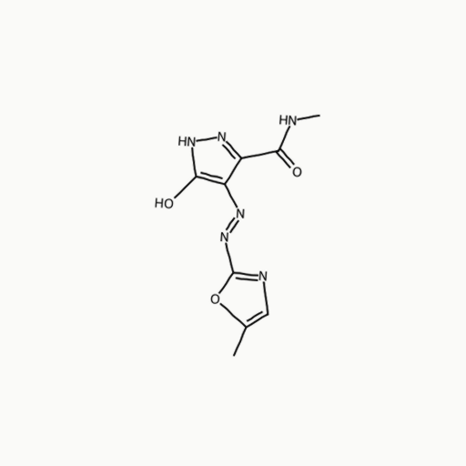 CNC(=O)c1n[nH]c(O)c1N=Nc1ncc(C)o1